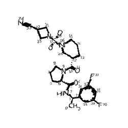 C[C@@H](NC(=O)[C@H]1CCCN1C(=O)[C@H]1CCCN(S(=O)(=O)N2CC(C#N)C2)C1)c1cc(F)cc(F)c1